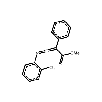 COC(=O)C(=C=Nc1ccccc1C(F)(F)F)c1ccccc1